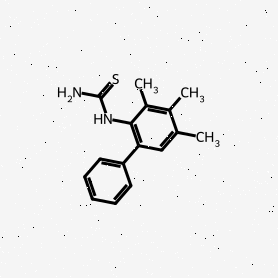 Cc1cc(-c2ccccc2)c(NC(N)=S)c(C)c1C